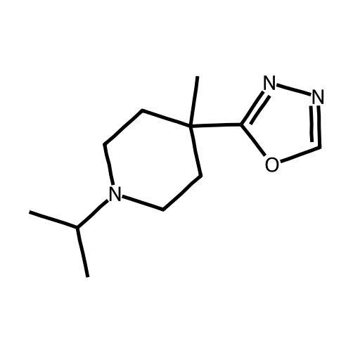 CC(C)N1CCC(C)(c2nnco2)CC1